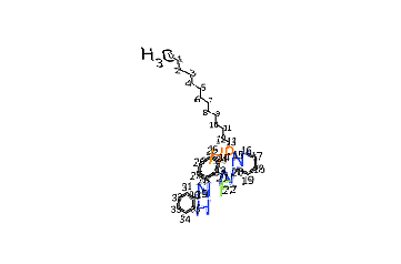 CCCCCCCCCCCCCCP[n+]1ccccc1N(F)c1ccccc1Nc1ccccc1